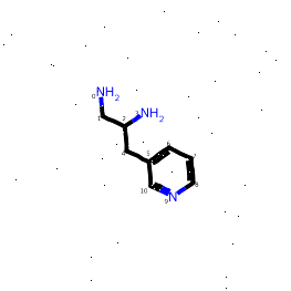 NCC(N)Cc1cccnc1